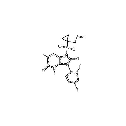 C=CCC1(S(=O)(=O)n2c(=O)n(-c3ccc(I)cc3F)c3c2cc(C)c(=O)n3C)CC1